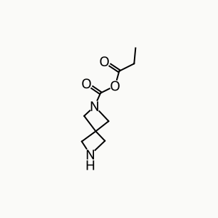 CCC(=O)OC(=O)N1CC2(CNC2)C1